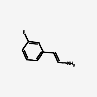 NC=Cc1cccc(F)c1